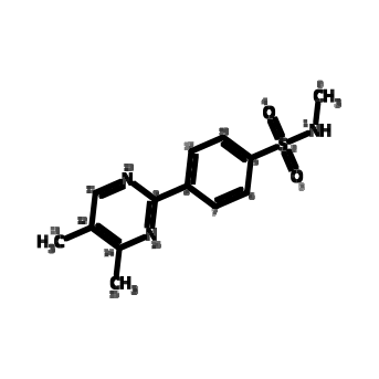 CNS(=O)(=O)c1ccc(-c2ncc(C)c(C)n2)cc1